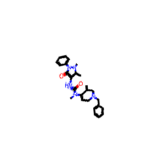 CC1CN(Cc2ccccc2)CCC1N(C)C(=O)NC1C(=O)N(c2ccccc2)N(C)C1C